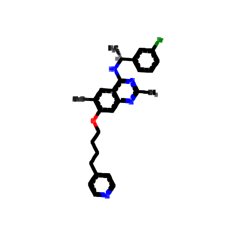 COc1cc2c(N[C@H](C)c3cccc(Br)c3)nc(C)nc2cc1OCCCCc1ccncc1